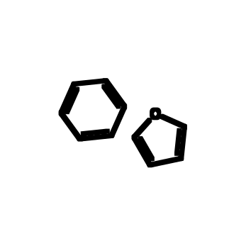 c1ccccc1.c1ccoc1